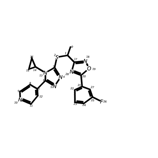 CC(Sc1nnc(-c2ccncc2)n1C1CC1)c1noc(-c2cccc(F)c2)n1